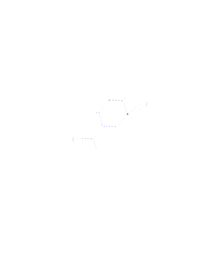 CC(C)N1CCCC(C)(F)C1